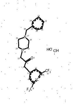 Cl.Cl.O=C(Cc1cc(C(F)(F)F)cc(C(F)(F)F)c1)CN1CCN(Cc2ccccc2)CC1